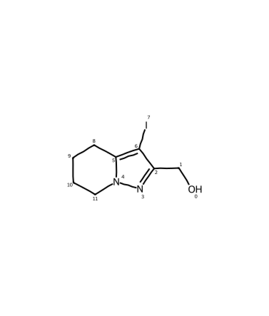 OCc1nn2c(c1I)CCCC2